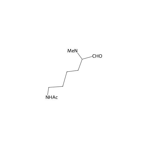 CC(=O)NCCCCC(C=O)N[13CH3]